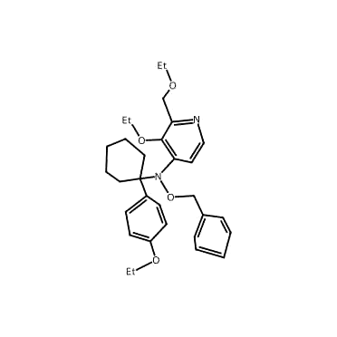 CCOCc1nccc(N(OCc2ccccc2)C2(c3ccc(OCC)cc3)CCCCC2)c1OCC